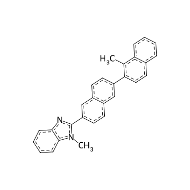 Cc1c(-c2ccc3cc(-c4nc5ccccc5n4C)ccc3c2)ccc2ccccc12